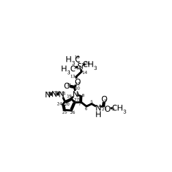 COC(=O)NCCc1cn(C(=O)OCC[Si](C)(C)C)c2c(N=[N+]=[N-])cccc12